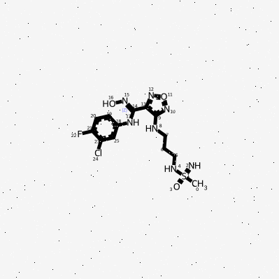 CS(=N)(=O)NCCCNc1nonc1/C(=N/O)Nc1ccc(F)c(Cl)c1